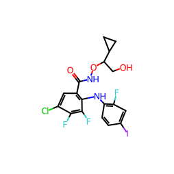 O=C(NOC(CO)C1CC1)c1cc(Cl)c(F)c(F)c1Nc1ccc(I)cc1F